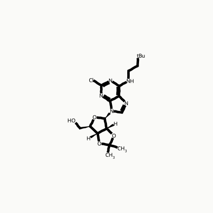 CC(C)(C)CCNc1nc(Cl)nc2c1ncn2[C@@H]1O[C@H](CO)[C@H]2OC(C)(C)O[C@H]21